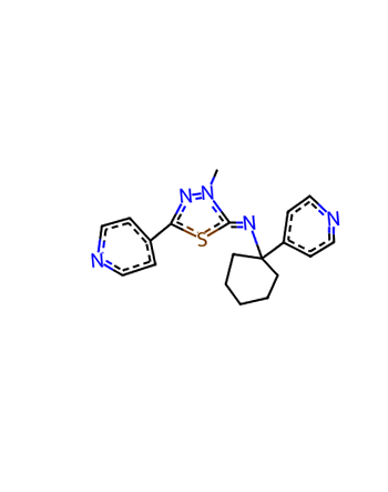 Cn1nc(-c2ccncc2)sc1=NC1(c2ccncc2)CCCCC1